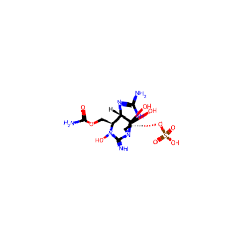 N=C1N(O)[C@@H](COC(N)=O)[C@@H]2N=C(N)N[C@]23N1C[C@@H](OS(=O)(=O)O)C3(O)O